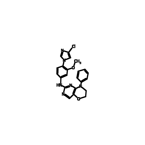 COc1cc(Nc2ncc3c(n2)N(c2ccccc2)CCO3)ccc1-n1cnc(Cl)c1